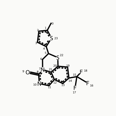 Cc1ccc(C2Cn3c(=O)ncc4cc(C(F)(F)F)cc(c43)S2)s1